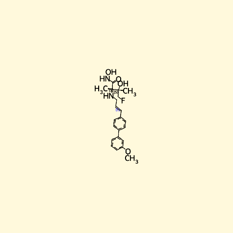 COc1cccc(-c2ccc(/C=C/CN[C@](C)(C(=O)NO)[C@](C)(O)CF)cc2)c1